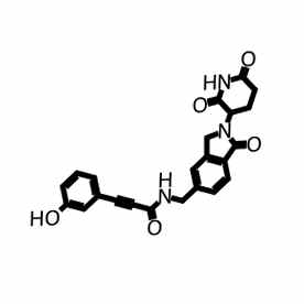 O=C(C#Cc1cccc(O)c1)NCc1ccc2c(c1)CN(C1CCC(=O)NC1=O)C2=O